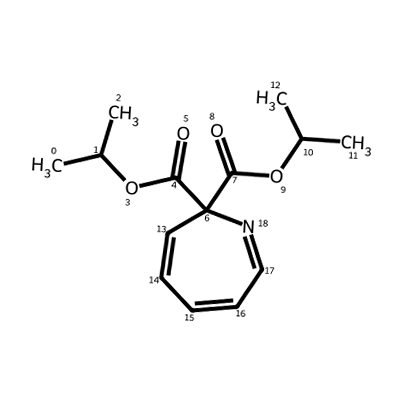 CC(C)OC(=O)C1(C(=O)OC(C)C)C=CC=CC=N1